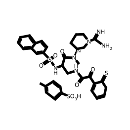 CN(C(=O)C(CNC(=O)C(=O)C1=CC=CCC1=S)NS(=O)(=O)c1ccc2ccccc2c1)[C@H]1CCCN(C(=N)N)C1.Cc1ccc(S(=O)(=O)O)cc1